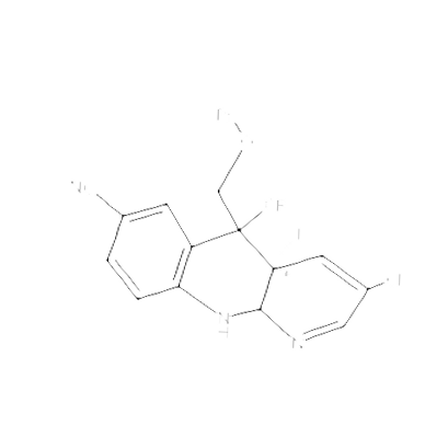 CC(C)OCC1(C(F)(F)F)c2cc(C#N)ccc2NC2N=CC(Cl)=C[C@@H]21